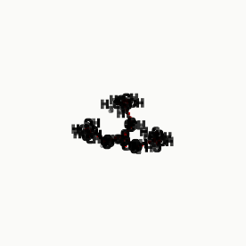 CCOCC(COCCCOP(=O)(O)OCCCCCCOC1OC(CO)C(O)C(O)C1NC(C)=O)(COCCCOP(=O)(O)OCCCCCCOC1OC(CO)C(O)C(O)C1NC(C)=O)COCCCOP(=O)(O)OCCCCCCOC1OC(CO)C(O)C(O)C1NC(C)=O